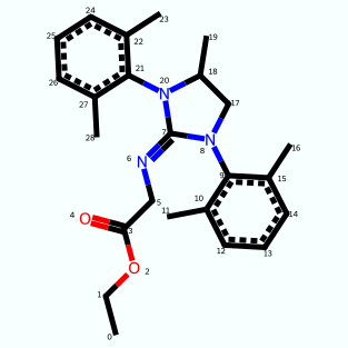 CCOC(=O)CN=C1N(c2c(C)cccc2C)CC(C)N1c1c(C)cccc1C